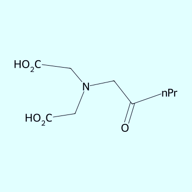 CCCC(=O)CN(CC(=O)O)CC(=O)O